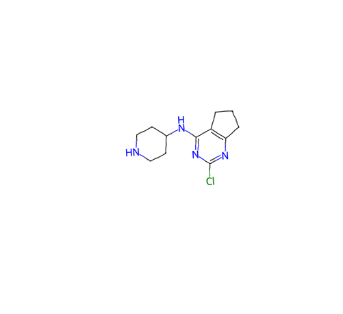 Clc1nc2c(c(NC3CCNCC3)n1)CCC2